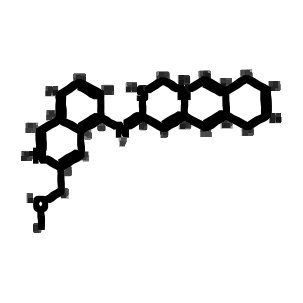 COCc1cc2c(N=C3C=C4C=C5CC=CCC5=CN4CS3)cccc2cn1